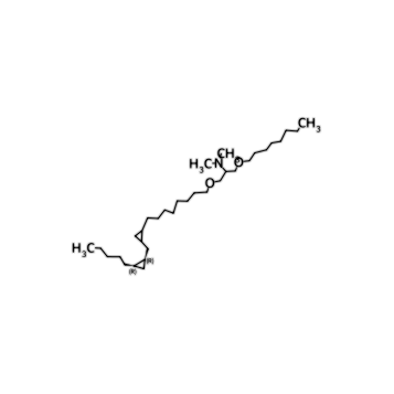 CCCCCCCCOCC(COCCCCCCCCC1CC1C[C@H]1C[C@H]1CCCCC)N(C)C